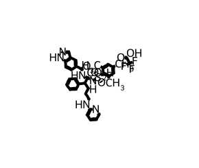 Cc1cc(C)c(S(=O)(=O)N[C@](NC(=O)c2ccc3[nH]ncc3c2)(C(=O)O)C(CCCNc2ccccn2)c2ccccc2)c(C)c1.O=C(O)C(F)(F)F